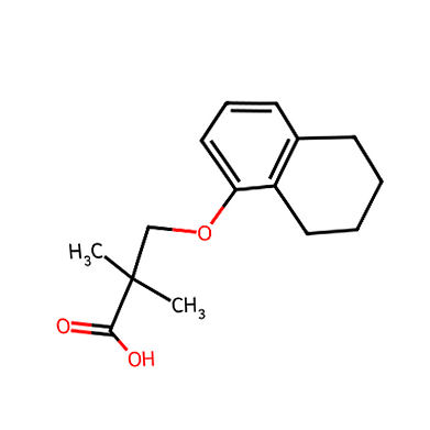 CC(C)(COc1cccc2c1CCCC2)C(=O)O